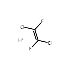 F/C(Cl)=C(/F)Cl.[H+]